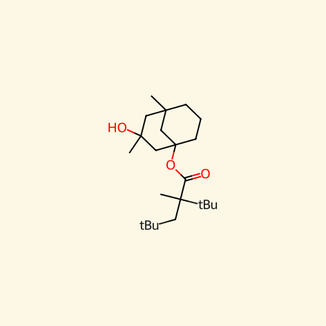 CC(C)(C)CC(C)(C(=O)OC12CCCC(C)(CC(C)(O)C1)C2)C(C)(C)C